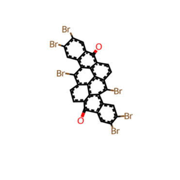 O=c1c2cc(Br)c(Br)cc2c2c(Br)c3ccc4c(=O)c5cc(Br)c(Br)cc5c5c(Br)c6ccc1c2c6c3c45